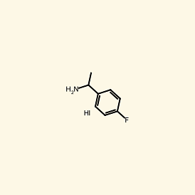 CC(N)c1ccc(F)cc1.I